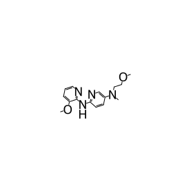 COCCN(C)c1ccc(Nc2ncccc2OC)nc1